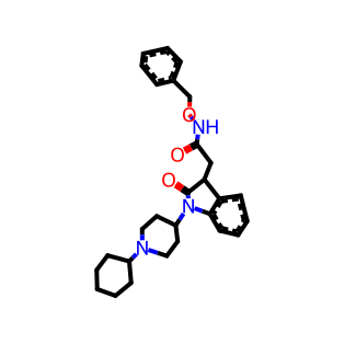 O=C(CC1C(=O)N(C2CCN(C3CCCCC3)CC2)c2ccccc21)NOCc1ccccc1